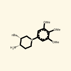 CCCC[C@@H]1CN(c2cc(OC)c(OC)c(OC)c2)CC[C@@H]1N